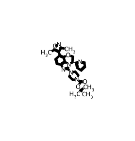 Cc1noc(C)c1-c1ccc2nc(N3CCN(C(=O)OC(C)(C)C)CC3)n3c2c1OC[C@@H]3c1ccccn1